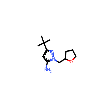 CC(C)(C)c1cc(N)n(CC2CCCO2)n1